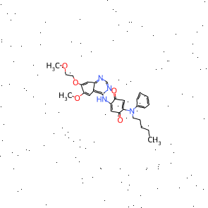 CCCCCN(C1=CC(=O)C(Nc2ncnc3cc(OCCOC)c(OC)cc23)=CC1=O)c1ccccc1